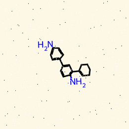 Nc1ccc(-c2ccc(N)c(C3=CCCCC3)c2)cc1